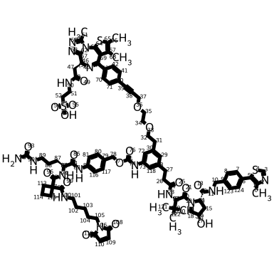 Cc1ncsc1-c1ccc(CNC(=O)[C@@H]2C[C@@H](O)CN2C(=O)[C@@H](NC(=O)CCc2cc(CCOCCOCC#Cc3ccc(C4=N[C@@H](CC(=O)NCCS(=O)(=O)O)c5nnc(C)n5-c5sc(C)c(C)c54)cc3)cc(NC(=O)OCc3ccc(NC(=O)[C@H](CCCNC(N)=O)NC(=O)C4(C(=O)NCCCCCN5C(=O)C=CC5=O)CCC4)cc3)c2)C(C)(C)C)cc1